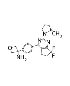 C[C@H]1CCCN1c1nc(-c2ccc(C3(N)COC3)cc2)c2c(n1)C(F)(F)CC2